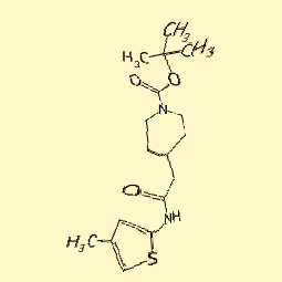 Cc1csc(NC(=O)CC2CCN(C(=O)OC(C)(C)C)CC2)c1